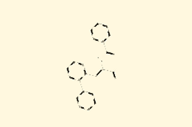 O=C(O)/C(=C/c1ccccc1-c1ccccc1)NC(=O)c1ccccc1